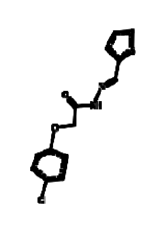 O=C(COc1ccc(Cl)cc1)N/N=C/c1cccs1